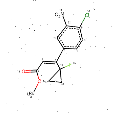 CC(C)(C)OC(=O)C=C(c1ccc(Cl)c([N+](=O)[O-])c1)C1(F)CC1